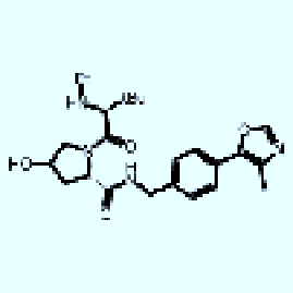 CCN[C@H](C(=O)N1C[C@H](O)C[C@H]1C(=O)NCc1ccc(-c2ocnc2C)cc1)C(C)(C)C